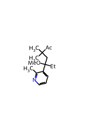 CCC(CC(C)(C)C(C)=O)(OC)c1cccnc1C